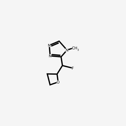 Cn1cnnc1C(F)C1CCO1